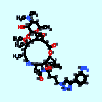 CC[C@H]1OC(=O)CC(=O)[C@H](C)[C@@H](O[C@@H]2O[C@H](C)CC(N(C)C)C2O)[C@](C)(OC)C[C@@H](C)CN[C@H](C)[C@@H](N(C=O)CCCCn2cc(-c3cccc(N)c3)nn2)[C@]1(C)O